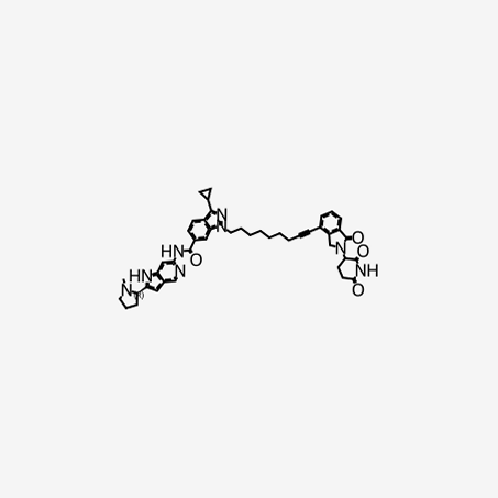 CN1CCC[C@@H]1c1cc2cnc(NC(=O)c3ccc4c(C5CC5)nn(CCCCCCCC#Cc5cccc6c5CN(C5CCC(=O)NC5=O)C6=O)c4c3)cc2[nH]1